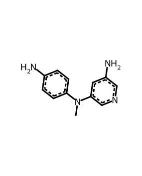 CN(c1ccc(N)cc1)c1cncc(N)c1